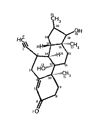 C#CC1CC2=CC(=O)CC[C@]2(C)[C@]2(O)CC[C@]3(C)C(O)C(C)C[C@H]3[C@H]12